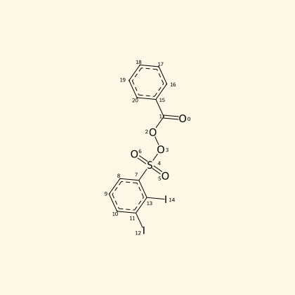 O=C(OOS(=O)(=O)c1cccc(I)c1I)c1ccccc1